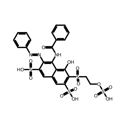 O=C(Nc1c(N=Nc2ccccc2)c(S(=O)(=O)O)cc2cc(S(=O)(=O)O)c(S(=O)(=O)CCOS(=O)(=O)O)c(O)c12)c1ccccc1